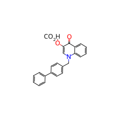 O=C(O)Oc1cn(Cc2ccc(-c3ccccc3)cc2)c2ccccc2c1=O